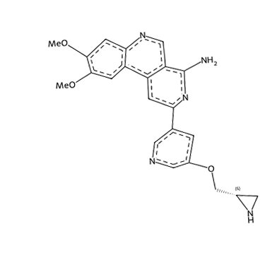 COc1cc2ncc3c(N)nc(-c4cncc(OC[C@@H]5CN5)c4)cc3c2cc1OC